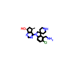 C[C@@H]1C[C@@H](O)c2ncnc(N3CC4(CCNCC4)c4c3ccc(Cl)c4CN)c21